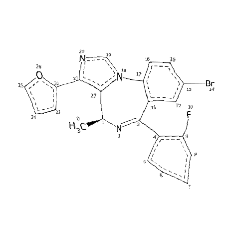 C[C@@H]1N=C(c2ccccc2F)c2cc(Br)ccc2-n2cnc(-c3ccco3)c21